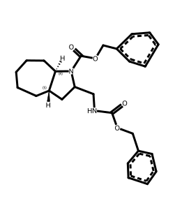 O=C(NCC1C[C@@H]2CCCCC[C@H]2N1C(=O)OCc1ccccc1)OCc1ccccc1